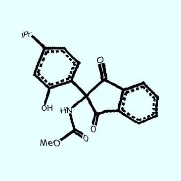 COC(=O)NC1(c2ccc(C(C)C)cc2O)C(=O)c2ccccc2C1=O